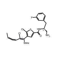 CC=C=C/C(Cl)=C(\NC)c1cc(C(=O)N[C@H](CN)Cc2cccc(F)c2)sc1Cl